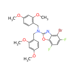 COc1ccc(CN(Cc2ccc(OC)cc2OC)c2nc3c(Br)c(F)cc(F)c3o2)c(OC)c1